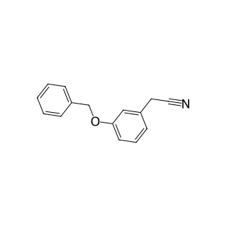 N#CCc1cccc(OCc2ccccc2)c1